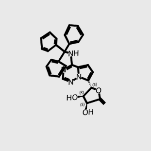 C=C1O[C@@H](c2ccc3c(NC(c4ccccc4)(c4ccccc4)c4ccccc4)ncnn23)[C@H](O)[C@@H]1O